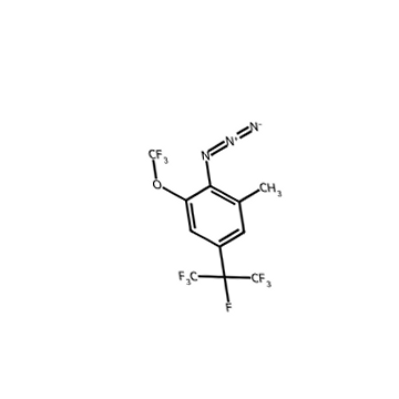 Cc1cc(C(F)(C(F)(F)F)C(F)(F)F)cc(OC(F)(F)F)c1N=[N+]=[N-]